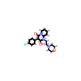 O=c1c(-c2ccc(F)cc2)c(O)[n+](CCN2CCOCC2)c2ccccn12